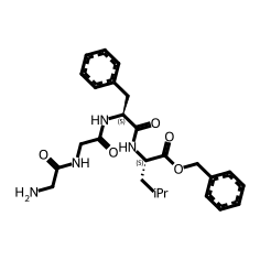 CC(C)C[C@H](NC(=O)[C@H](Cc1ccccc1)NC(=O)CNC(=O)CN)C(=O)OCc1ccccc1